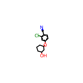 N#Cc1ccc(OC2CCCC(O)C2)cc1Cl